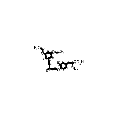 CCOC(Cc1ccc(OCC=C(C)C#Cc2cc(OCC(F)(F)F)cc(OCC(F)(F)F)c2)c(I)c1)C(=O)O